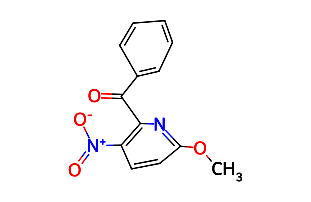 COc1ccc([N+](=O)[O-])c(C(=O)c2ccccc2)n1